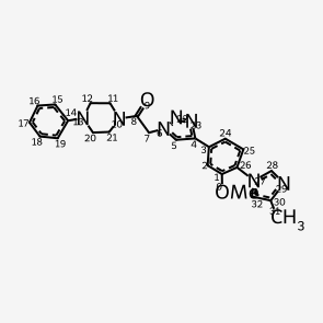 COc1cc(-c2cn(CC(=O)N3CCN(c4ccccc4)CC3)nn2)ccc1-n1cnc(C)c1